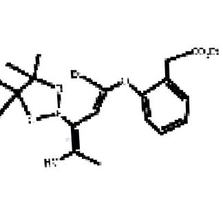 CCOC(=O)Cc1ccccc1OC(=C/C(B1OC(C)(C)C(C)(C)O1)=C(\C)O)CC